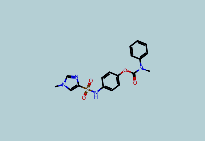 CN(C(=O)Oc1ccc(NS(=O)(=O)c2cn(C)cn2)cc1)c1ccccc1